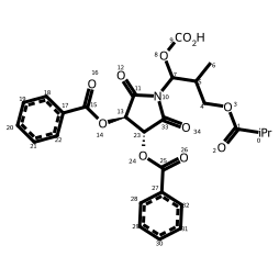 CC(C)C(=O)OCC(C)C(OC(=O)O)N1C(=O)[C@H](OC(=O)c2ccccc2)[C@@H](OC(=O)c2ccccc2)C1=O